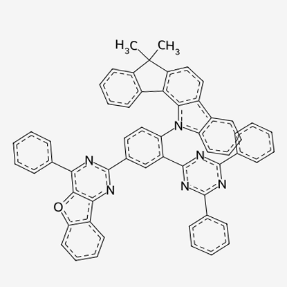 CC1(C)c2ccccc2-c2c1ccc1c3ccccc3n(-c3ccc(-c4nc(-c5ccccc5)c5oc6ccccc6c5n4)cc3-c3nc(-c4ccccc4)nc(-c4ccccc4)n3)c21